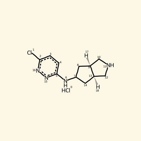 Cl.Clc1ccc(NC2C[C@H]3CNC[C@H]3C2)nn1